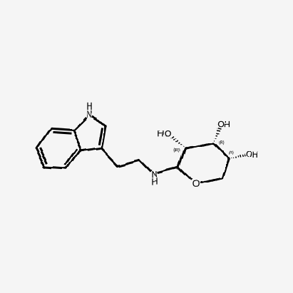 O[C@@H]1[C@H](O)COC(NCCc2c[nH]c3ccccc23)[C@@H]1O